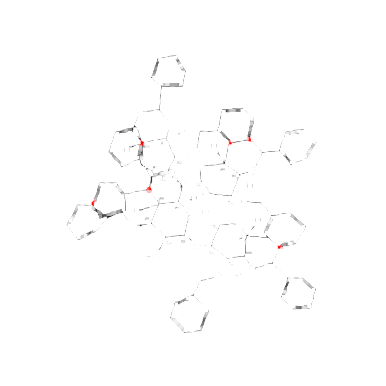 O[C@@H]1[C@H](O[C@@H]2[C@H](O[C@@H]3[C@H](O[C@H]4[C@@H](OCc5ccccc5)[C@@H]5OC(c6ccccc6)OC[C@H]5O[C@@H]4Sc4ccccc4)O[C@@H]4COC(c5ccccc5)O[C@H]4[C@@H]3OCc3ccccc3)O[C@@H]3COC(c4ccccc4)O[C@H]3[C@@H]2OCc2ccccc2)O[C@@H]2COC(c3ccccc3)O[C@H]2[C@@H]1OCc1ccccc1